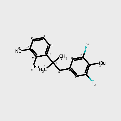 CC(C)(C)c1c(F)cc(CC(C)(C)c2cccc(C#N)c2C(C)(C)C)cc1F